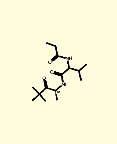 CCC(=O)NC(C(=O)N[C@@H](C)C(=O)C(C)(C)C)C(C)C